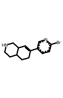 Brc1ccc(C2=CC3CNCCC3CC2)cn1